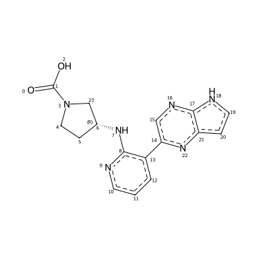 O=C(O)N1CC[C@@H](Nc2ncccc2-c2cnc3[nH]ccc3n2)C1